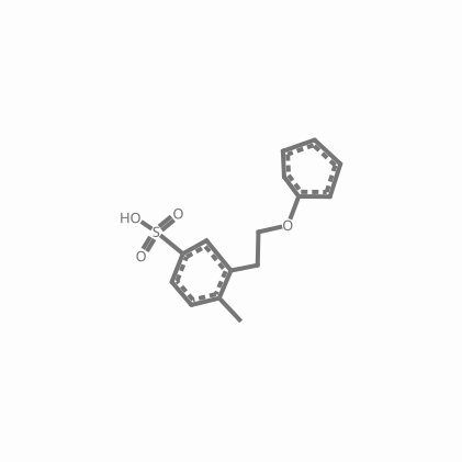 Cc1ccc(S(=O)(=O)O)cc1CCOc1ccccc1